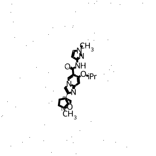 CC(C)Oc1cc2nc([C@@]34CC[C@@](C)(C3)OC4)cn2cc1C(=O)Nc1ccn(C)n1